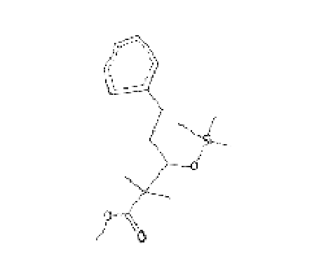 COC(=O)C(C)(C)C(CCc1ccccc1)O[Si](C)(C)C